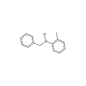 Cc1ccccc1[S+]([O-])Cc1ccccc1